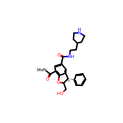 CNC(=O)c1cc(C(=O)NCCC2CCNCC2)cc2c1OC(CO)[C@H]2c1ccccc1